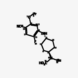 CC(C)Oc1nc(N[C@H]2CC[C@H](N(C(=O)O)C(C)(C)C)CC2)c(F)cc1C#N